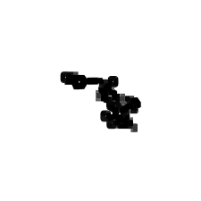 COC(=O)C1=C(CN2CCN3C(=O)N(CC#Cc4ccc(CO)cc4)C[C@@H]3C2)NC(c2nccs2)=N[C@H]1C